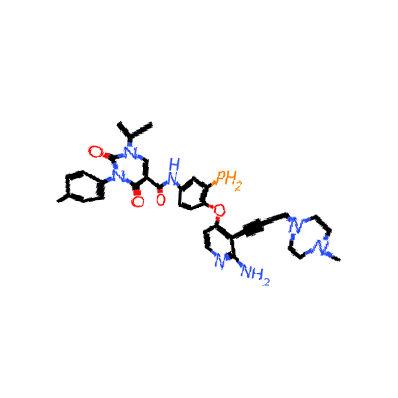 Cc1ccc(-n2c(=O)c(C(=O)Nc3ccc(Oc4ccnc(N)c4C#CCN4CCN(C)CC4)c(P)c3)cn(C(C)C)c2=O)cc1